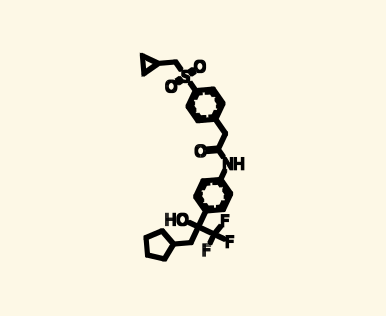 O=C(Cc1ccc(S(=O)(=O)CC2CC2)cc1)Nc1ccc(C(O)(CC2CCCC2)C(F)(F)F)cc1